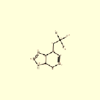 FC(F)(F)CC1C=N[C]C2NN=NC12